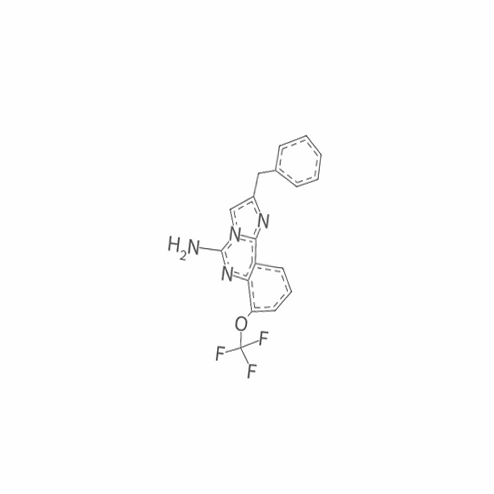 Nc1nc2c(OC(F)(F)F)cccc2c2nc(Cc3ccccc3)cn12